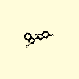 Cln1[c]c(-c2cc3cc(Br)ccc3[nH]2)c2ccccc21